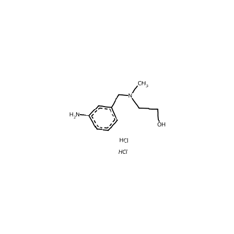 CN(CCO)Cc1cccc(N)c1.Cl.Cl